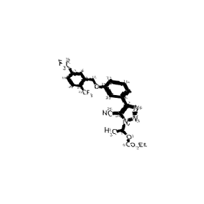 CCOC(=O)OC(C)n1nnc(-c2cccc(OCc3cc(C(F)(F)F)ccc3C(F)(F)F)c2)c1C#N